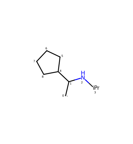 [CH2]C(NC(C)C)C1CCCC1